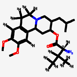 [2H]c1c(OC)c(OC)c([2H])c2c1C1CC(OC(=O)[C@@]([2H])(N)C([2H])(C([2H])([2H])[2H])C([2H])([2H])[2H])C(CC(C)C)CN1C([2H])([2H])C2([2H])[2H]